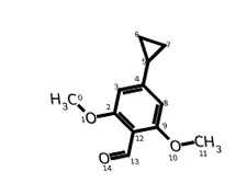 COc1cc(C2CC2)cc(OC)c1C=O